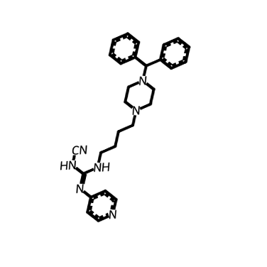 N#CN/C(=N/c1ccncc1)NCCCCN1CCN(C(c2ccccc2)c2ccccc2)CC1